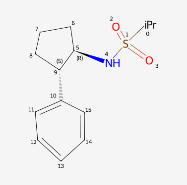 CC(C)S(=O)(=O)N[C@@H]1CCC[C@H]1c1ccccc1